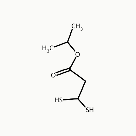 CC(C)OC(=O)CC(S)S